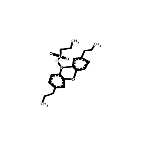 CCCc1ccc2c(c1)Oc1ccc(CCC)cc1N2OS(=O)(=O)CCC